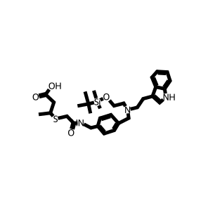 CC(CC(=O)O)SCC(=O)NCc1ccc(CN(CCO[Si](C)(C)C(C)(C)C)CCc2c[nH]c3ccccc23)cc1